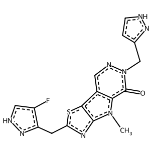 Cn1c2nc(Cc3n[nH]cc3F)sc2c2cnn(Cc3cc[nH]n3)c(=O)c21